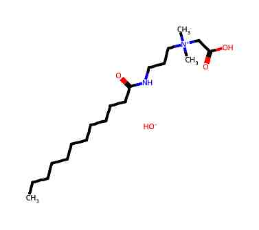 CCCCCCCCCCCC(=O)NCCC[N+](C)(C)CC(=O)O.[OH-]